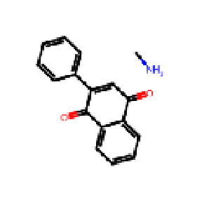 CN.O=C1C=C(c2ccccc2)C(=O)c2ccccc21